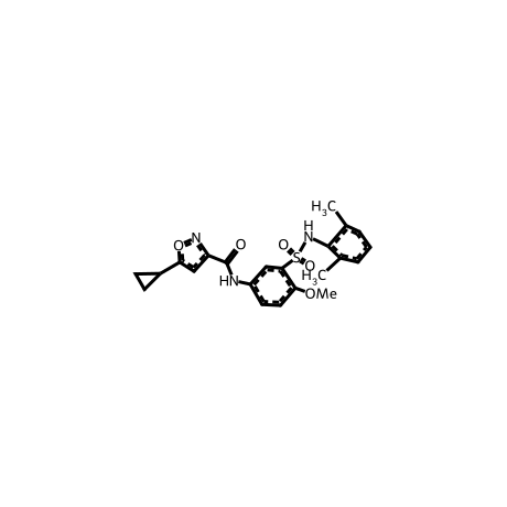 COc1ccc(NC(=O)c2cc(C3CC3)on2)cc1S(=O)(=O)Nc1c(C)cccc1C